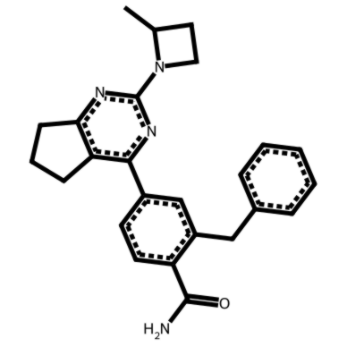 CC1CCN1c1nc2c(c(-c3ccc(C(N)=O)c(Cc4ccccc4)c3)n1)CCC2